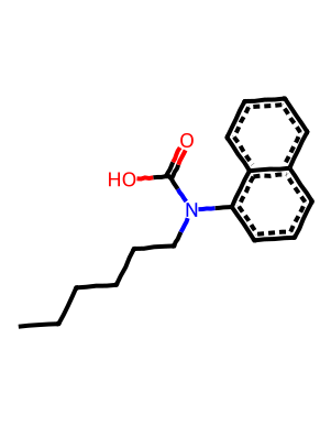 CCCCCCN(C(=O)O)c1cccc2ccccc12